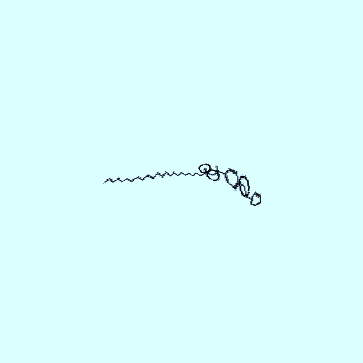 CCCCCCCCCCCCCCCCCCCCCCCC(=O)OC(C)c1ccc(OCc2ccccc2)cc1